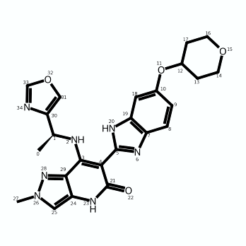 C[C@H](Nc1c(-c2nc3ccc(OC4CCOCC4)cc3[nH]2)c(=O)[nH]c2cn(C)nc12)c1cocn1